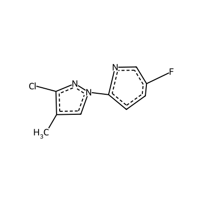 Cc1cn(-c2ccc(F)cn2)nc1Cl